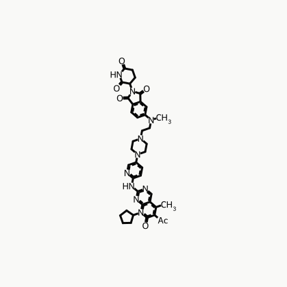 CC(=O)c1c(C)c2cnc(Nc3ccc(N4CCN(CCN(C)c5ccc6c(c5)C(=O)N(C5CCC(=O)NC5=O)C6=O)CC4)cn3)nc2n(C2CCCC2)c1=O